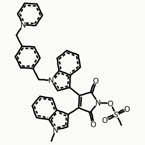 Cn1cc(C2=C(c3cn(Cc4ccc(C[n+]5ccccc5)cc4)c4ccccc34)C(=O)N(OS(C)(=O)=O)C2=O)c2ccccc21